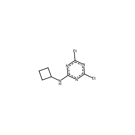 CCc1nc(CC)nc(NC2CCC2)n1